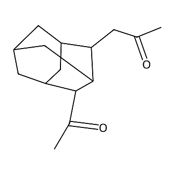 CC(=O)CC1C2CC3CC(C2)C(C(C)=O)C1C3